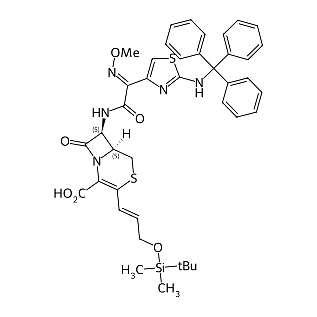 CON=C(C(=O)N[C@@H]1C(=O)N2C(C(=O)O)=C(C=CCO[Si](C)(C)C(C)(C)C)SC[C@H]12)c1csc(NC(c2ccccc2)(c2ccccc2)c2ccccc2)n1